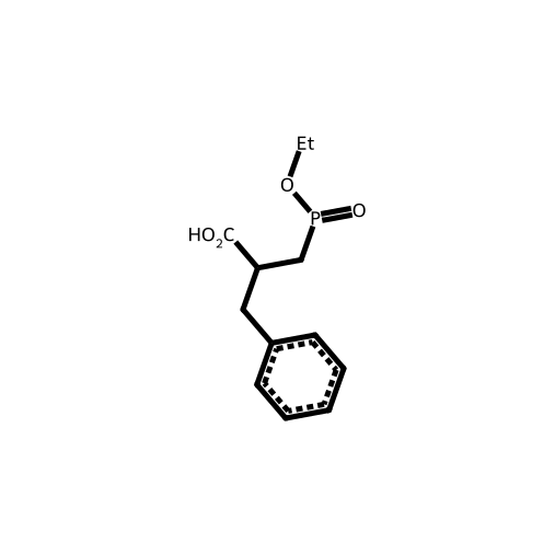 CCO[P](=O)CC(Cc1ccccc1)C(=O)O